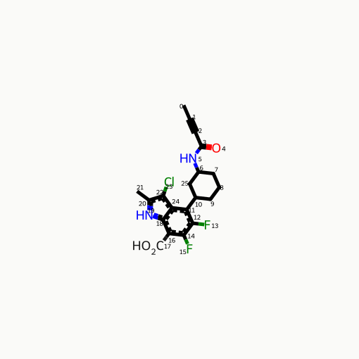 CC#CC(=O)NC1CCCC(c2c(F)c(F)c(C(=O)O)c3[nH]c(C)c(Cl)c23)C1